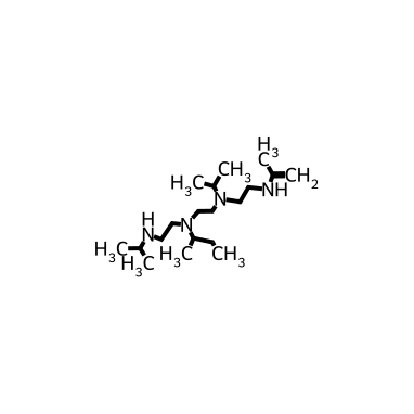 C=C(C)NCCN(CCN(CCNC(C)C)C(C)CC)C(C)C